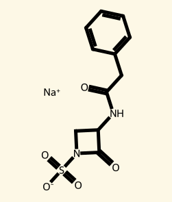 O=C(Cc1ccccc1)NC1CN(S(=O)(=O)[O-])C1=O.[Na+]